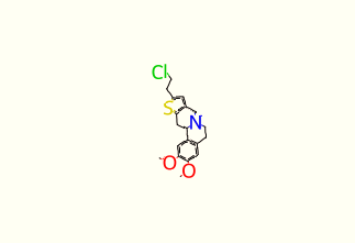 COc1cc2c(cc1OC)C1Cc3sc(CCCl)cc3CN1CC2